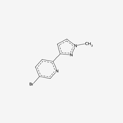 Cn1ccc(-c2ccc(Br)cn2)n1